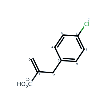 C=C(Cc1ccc(Cl)cc1)C(=O)O